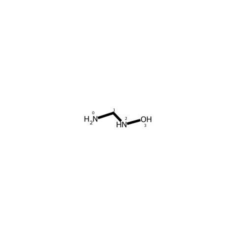 NCNO